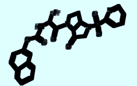 CCCC(NC(=O)Oc1ccc2ccccc2c1)C(=O)N1CCC2C1C(=O)CN2S(=O)(=O)c1ccccn1